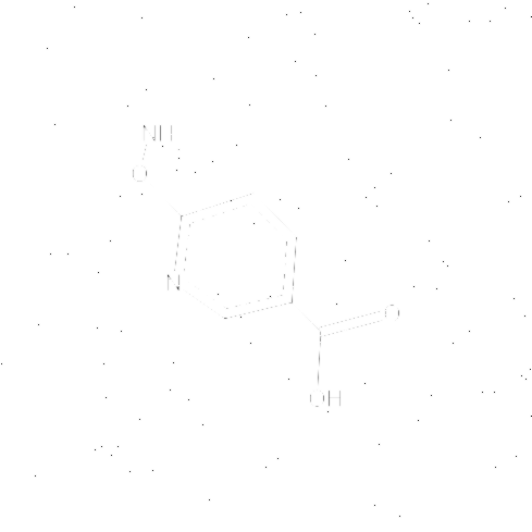 NOc1ccc(C(=O)O)cn1